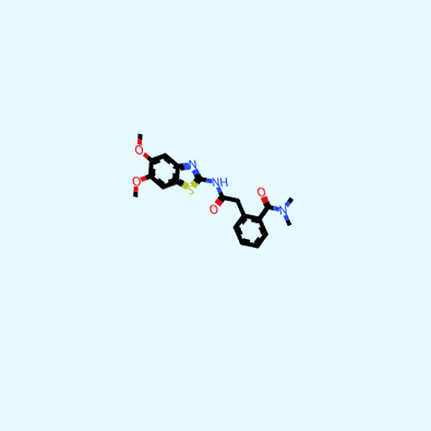 COc1cc2nc(NC(=O)Cc3ccccc3C(=O)N(C)C)sc2cc1OC